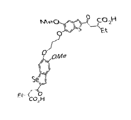 CCC(CC(=O)c1cc2cc(OC)c(OCCCOc3cc4[se]c(C(=O)CC(CC)C(=O)O)cc4cc3OC)cc2s1)C(=O)O